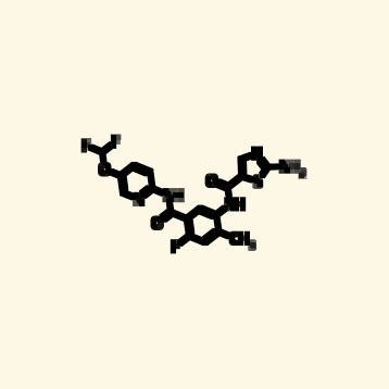 Cc1cc(F)c(C(=O)Nc2ccc(OC(F)F)cn2)cc1NC(=O)c1cnc(N)s1